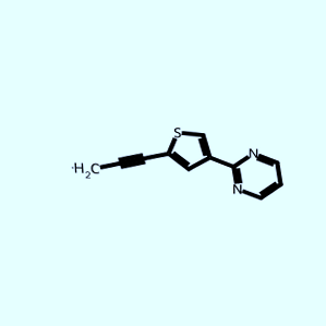 [CH2]C#Cc1cc(-c2ncccn2)cs1